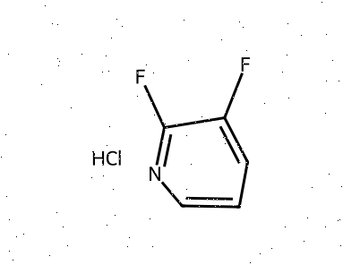 Cl.Fc1cccnc1F